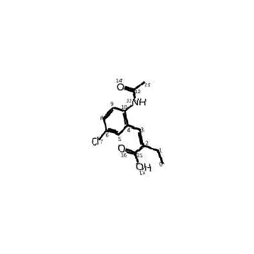 CCC(=Cc1cc(Cl)ccc1NC(C)=O)C(=O)O